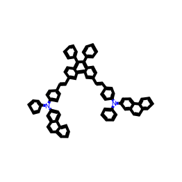 C(=C\c1ccc2c(-c3ccccc3)c(-c3ccccc3)c3ccc(/C=C/c4ccc(N(c5ccccc5)c5ccc6c(ccc7ccccc76)c5)cc4)cc3c2c1)/c1ccc(N(c2ccccc2)c2ccc3c(ccc4ccccc43)c2)cc1